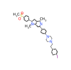 Cc1nc(-c2ccc(N3CCN(CCc4ccc(I)cc4)CC3)cc2)cc2c1cc(-c1ccc(S(C)(=O)=O)cc1)n2C